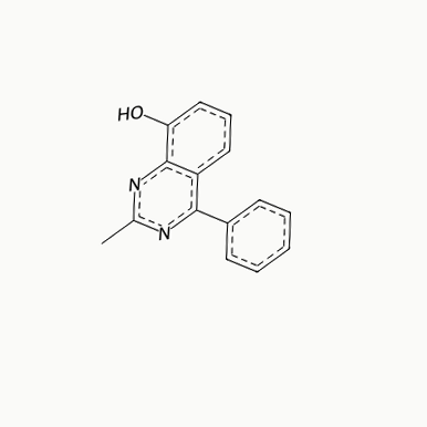 Cc1nc(-c2ccccc2)c2cccc(O)c2n1